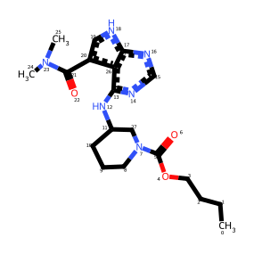 CCCCOC(=O)N1CCCC(Nc2ncnc3[nH]cc(C(=O)N(C)C)c23)C1